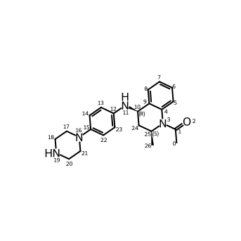 CC(=O)N1c2ccccc2[C@H](Nc2ccc(N3CCNCC3)cc2)C[C@@H]1C